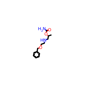 CC(CNCCOCc1ccccc1)OC(N)=O